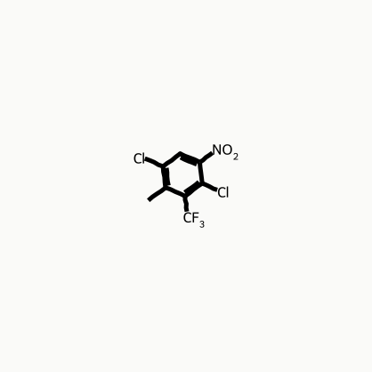 Cc1c(Cl)cc([N+](=O)[O-])c(Cl)c1C(F)(F)F